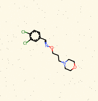 Clc1ccc(C=NOCCCN2CCOCC2)cc1Cl